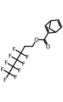 O=C(OCCC(F)(F)C(F)(F)C(F)(F)C(F)(F)F)C1=CC2C=CC1C2